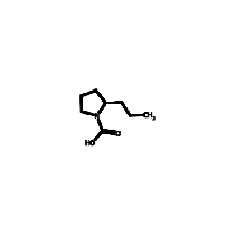 CCC[C@@H]1CCCN1C(=O)O